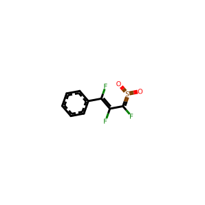 O=S(=O)=C(F)C(F)=C(F)c1ccccc1